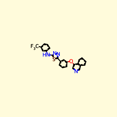 FC(F)(F)c1cccc(Nc2nnc(-c3cccc(Oc4cncc5ccccc45)c3)s2)c1